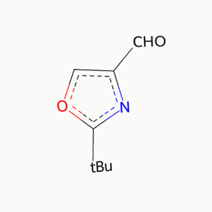 CC(C)(C)c1nc(C=O)co1